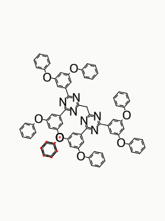 c1ccc(Oc2cc(Oc3ccccc3)cc(-c3nc(Cc4nc(-c5cc(Oc6ccccc6)cc(Oc6ccccc6)c5)nc(-c5cc(Oc6ccccc6)cc(Oc6ccccc6)c5)n4)nc(-c4cc(Oc5ccccc5)cc(Oc5ccccc5)c4)n3)c2)cc1